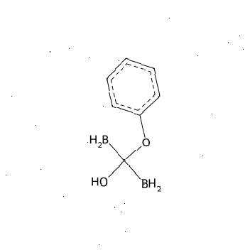 BC(B)(O)Oc1ccccc1